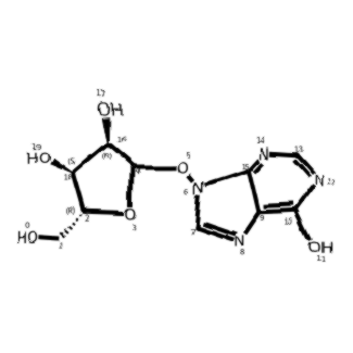 OC[C@H]1OC(On2cnc3c(O)ncnc32)[C@H](O)[C@@H]1O